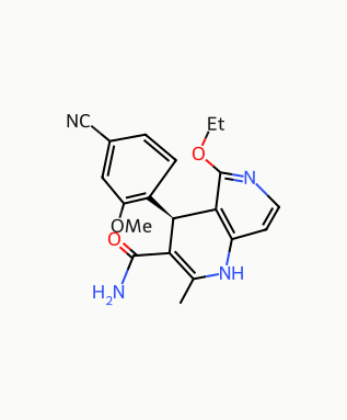 CCOc1nccc2c1[C@H](c1ccc(C#N)cc1OC)C(C(N)=O)=C(C)N2